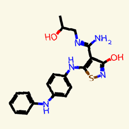 CC(O)CN=C(N)c1c(O)nsc1Nc1ccc(Nc2ccccc2)cc1